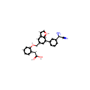 N#CC(N)c1cccc(-c2cc(COc3ccccc3CC(=O)O)cc3ccoc23)c1